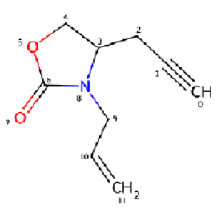 C#CCC1COC(=O)N1CC=C